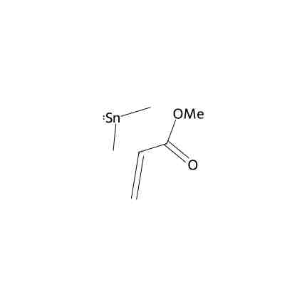 C=CC(=O)OC.[CH3][Sn][CH3]